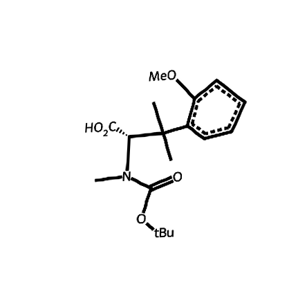 COc1ccccc1C(C)(C)[C@@H](C(=O)O)N(C)C(=O)OC(C)(C)C